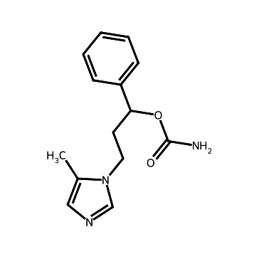 Cc1cncn1CCC(OC(N)=O)c1ccccc1